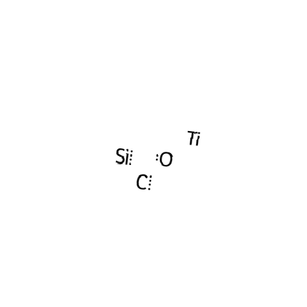 [C].[O].[Si].[Ti]